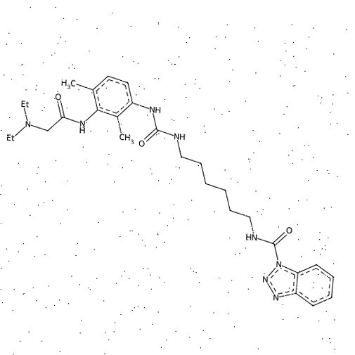 CCN(CC)CC(=O)Nc1c(C)ccc(NC(=O)NCCCCCCNC(=O)n2nnc3ccccc32)c1C